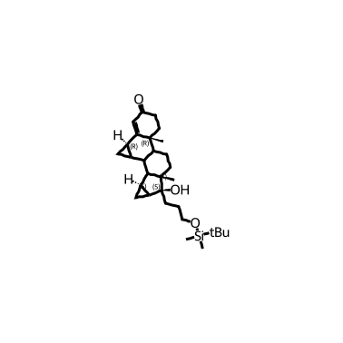 CC(C)(C)[Si](C)(C)OCCC[C@]1(O)C2C[C@H]2C2C3C4C[C@H]4C4=CC(=O)CC[C@]4(C)C3CC[C@@]21C